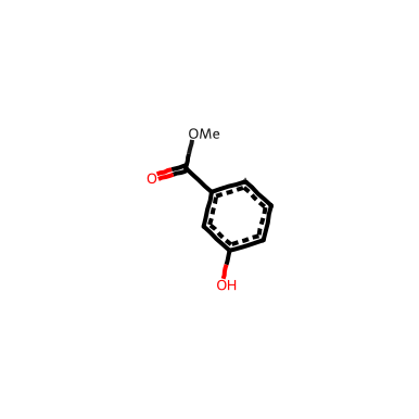 COC(=O)c1[c]ccc(O)c1